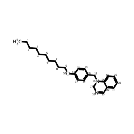 CCCCCCCCCCOc1ccc(CN2CN=Cc3ccccc32)cc1